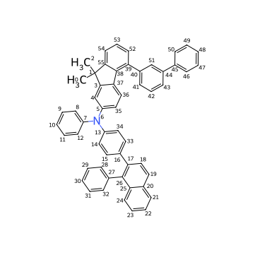 CC1(C)c2cc(N(c3ccccc3)c3ccc(-c4ccc5ccccc5c4-c4ccccc4)cc3)ccc2-c2c(-c3cccc(-c4ccccc4)c3)cccc21